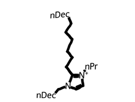 CCCCCCCCCCCCCCCCc1n(CCCCCCCCCCC)cc[n+]1CCC